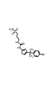 CC(C)(c1ccc(Br)cc1)c1csc(NC(=O)NCCCS(N)(=O)=O)n1